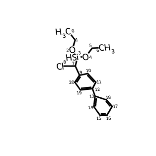 CCO[SiH](OCC)C(Cl)c1ccc(-c2ccccc2)cc1